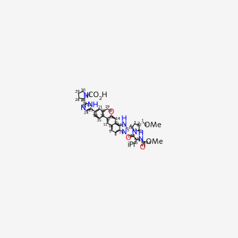 COC[C@H]1C[C@@H](c2nc3ccc4cc5c(cc4c3[nH]2)OCc2cc(-c3cnc([C@@H]4CCCN4C(=O)O)[nH]3)ccc2-5)N(C(=O)C(NC(=O)OC)C(C)C)C1